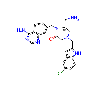 NC[C@H]1CN(Cc2cc3cc(Cl)ccc3[nH]2)CC(=O)N1Cc1ccc2c(N)ncnc2c1